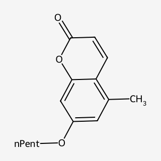 CCCCCOc1cc(C)c2ccc(=O)oc2c1